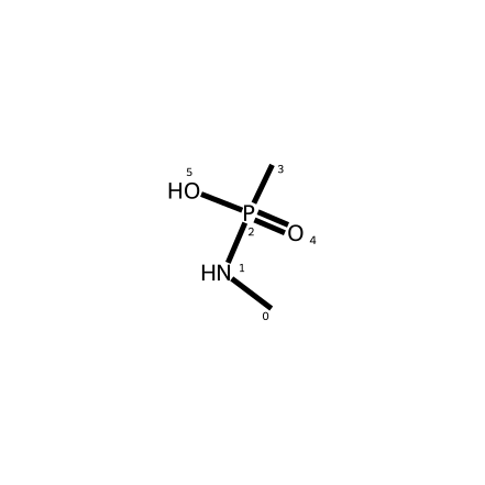 CNP(C)(=O)O